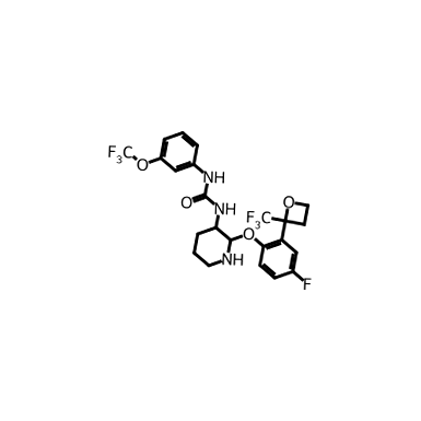 O=C(Nc1cccc(OC(F)(F)F)c1)NC1CCCNC1Oc1ccc(F)cc1C1(C(F)(F)F)CCO1